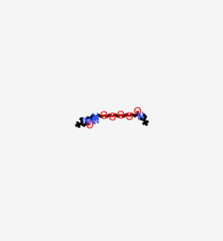 C=C1C(C(C)(C)C)CC(=O)N1Cc1cn(CCOCCOCCOCCOCCC(=O)N2CCC(C(C)(C)C)C2)nn1